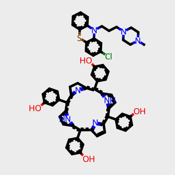 CN1CCN(CCCN2c3ccccc3Sc3ccc(Cl)cc32)CC1.Oc1cccc(-c2c3nc(c(-c4cccc(O)c4)c4ccc([nH]4)c(-c4cccc(O)c4)c4nc(c(-c5cccc(O)c5)c5ccc2[nH]5)CC4)C=C3)c1